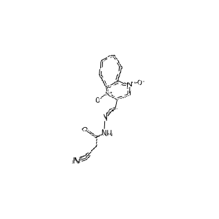 N#CCC(=O)NN=Cc1c[n+]([O-])c2ccccc2[n+]1[O-]